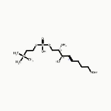 CCCCCCCCCCCCC/C=C/[C@@H](O)[C@@H](N)COP(=O)(O)OCC[N+](C)(C)C